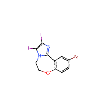 Brc1ccc2c(c1)-c1nc(I)c(I)n1CCO2